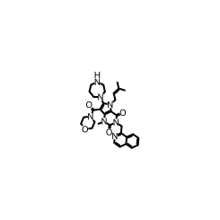 CC(C)=CCn1c(N2CCCNCC2)c(C(=O)N2CCOCC2)c2c1c(=O)n(Cc1nccc3ccccc13)c(=O)n2C